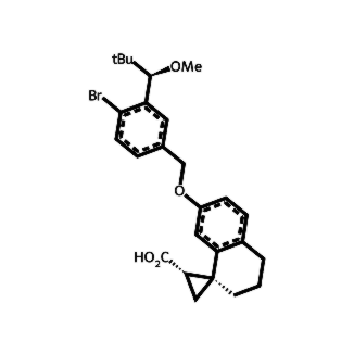 CO[C@@H](c1cc(COc2ccc3c(c2)[C@@]2(CCC3)C[C@@H]2C(=O)O)ccc1Br)C(C)(C)C